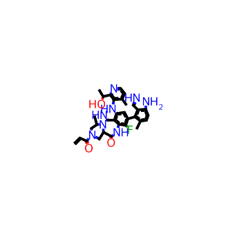 C=CC(=O)N1CC(C)N2C(=N)c3c(Nc4c(C)ccnc4C(C)O)cc(-c4c(C)ccc(N)c4C=N)c(F)c3NC(=O)C2C1